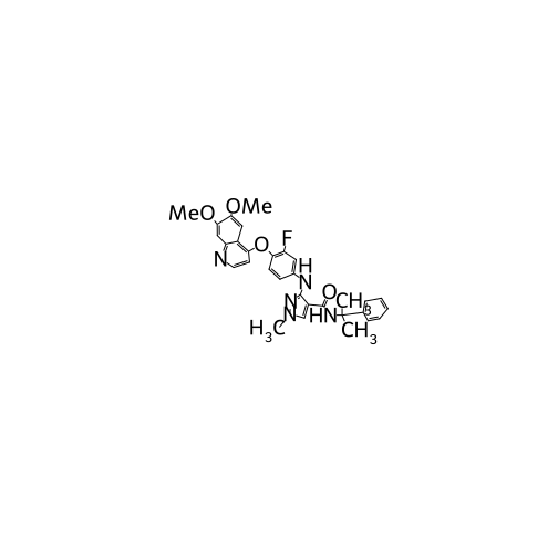 COc1cc2nccc(Oc3ccc(Nc4nn(C)cc4C(=O)NC(C)(C)c4ccccc4)cc3F)c2cc1OC